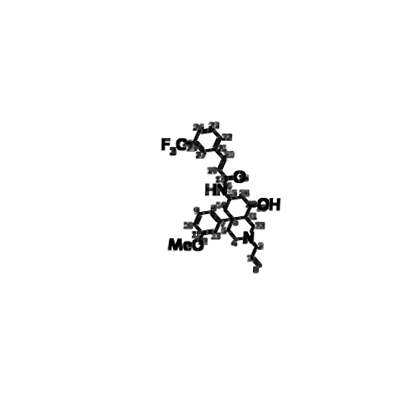 C=CCN1CCC2(c3cccc(OC)c3)CC(NC(=O)/C=C/c3cccc(C(F)(F)F)c3)CC(O)C2C1